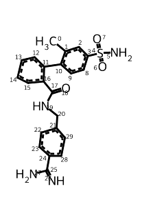 Cc1cc(S(N)(=O)=O)ccc1-c1ccccc1C(=O)NCc1ccc(C(=N)N)cc1